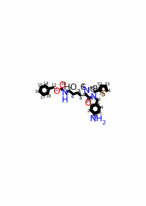 CC(C)(C)N(C(=O)O)[C@@H](CCCCNC(=O)OCc1ccccc1)C(=O)N(Cc1ccc(N)cc1)Cc1cccs1